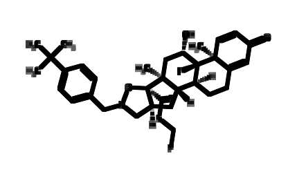 CC(C)(C)c1ccc(CN2C[C@@H]3C[C@H]4[C@@H]5CCC6=CC(=O)C=C[C@]6(C)[C@@]5(F)[C@@H](O)C[C@]4(C)[C@]3(C(=O)SCF)O2)cc1